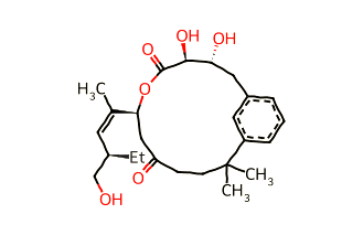 CC[C@H](/C=C(/C)[C@@H]1CC(=O)CCC(C)(C)c2cccc(c2)C[C@@H](O)[C@H](O)C(=O)O1)CO